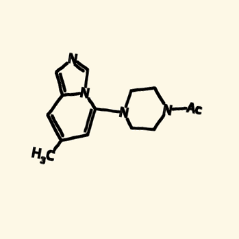 CC(=O)N1CCN(c2cc(C)cc3cncn23)CC1